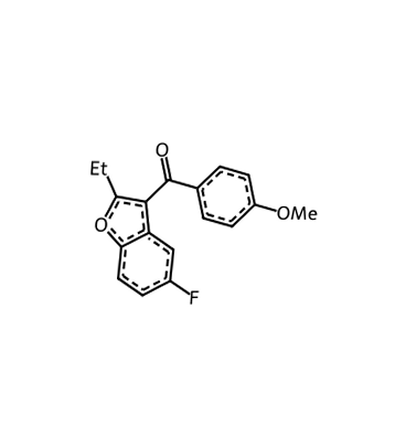 CCc1oc2ccc(F)cc2c1C(=O)c1ccc(OC)cc1